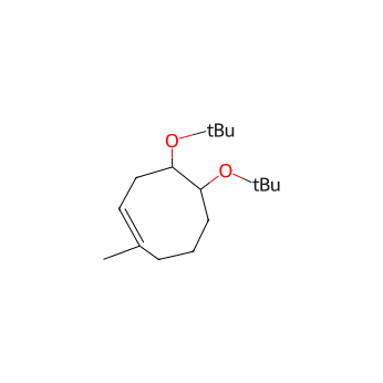 CC1=CCC(OC(C)(C)C)C(OC(C)(C)C)CCC1